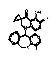 O=C1c2c(O)c(=O)ccn2N(C2c3ccccc3CSc3c(F)cccc32)CC12CC2